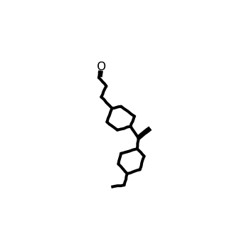 C=C(C1CCC(CC)CC1)C1CCC(CCC=O)CC1